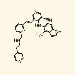 Cc1c(Nc2c(C#N)cncc2C=Cc2cccc(CNCCc3ccncc3)n2)ccc2[nH]ccc12